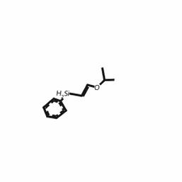 CC(C)OC=C[SiH2]c1ccccc1